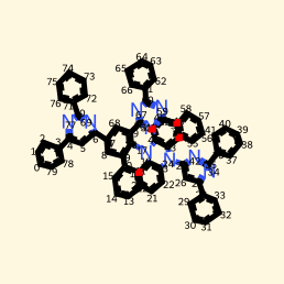 c1ccc(-c2cc(-c3cc(-c4ccccc4)c(N4c5ccccc5N(c5cc(-c6ccccc6)nc(-c6ccccc6)n5)c5ccccc54)c(-c4nc(-c5ccccc5)nc(-c5ccccc5)n4)c3)nc(-c3ccccc3)n2)cc1